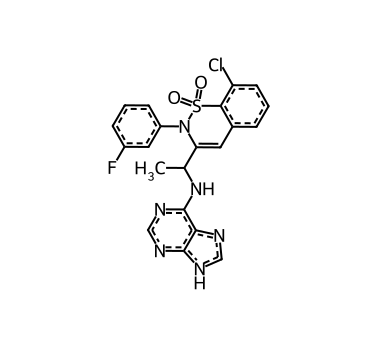 CC(Nc1ncnc2[nH]cnc12)C1=Cc2cccc(Cl)c2S(=O)(=O)N1c1cccc(F)c1